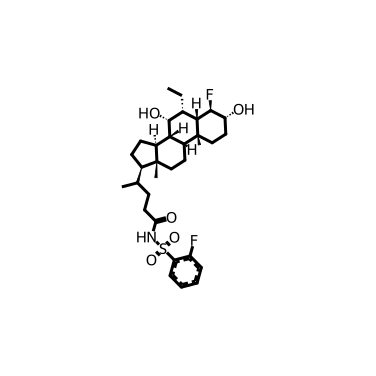 CC[C@H]1[C@@H](O)[C@@H]2[C@H](CC[C@]3(C)[C@@H](C(C)CCC(=O)NS(=O)(=O)c4ccccc4F)CC[C@@H]23)[C@@]2(C)CC[C@@H](O)[C@H](F)[C@@H]12